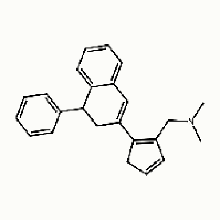 CN(C)CC1=C(C2=Cc3ccccc3C(c3ccccc3)C2)CC=C1